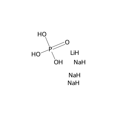 O=P(O)(O)O.[LiH].[NaH].[NaH].[NaH]